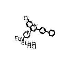 CCN(CC)C1CCN(c2cc(-c3ccc(-c4ccccc4)cc3)nc3cc(Cl)ccc23)CC1.Cl.Cl